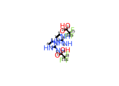 N=c1[nH]cc[nH]1.N=c1[nH]cc[nH]1.O=C(O)C(F)(F)F.O=C(O)C(F)(F)F